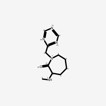 CNC1CCCCN(Cc2ncncn2)C1=O